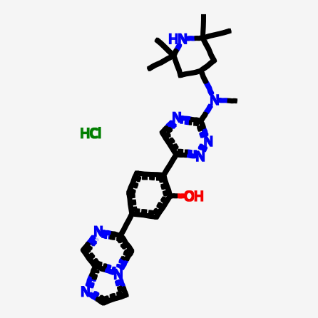 CN(c1ncc(-c2ccc(-c3cn4ccnc4cn3)cc2O)nn1)C1CC(C)(C)NC(C)(C)C1.Cl